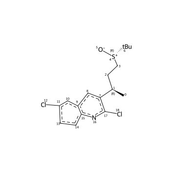 C[C@H](CC[S@+]([O-])C(C)(C)C)c1cc2cc(Cl)ccc2nc1Cl